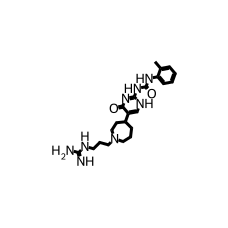 Cc1ccccc1NC(=O)Nc1nc(=O)c(C2CCCN(CCCNC(=N)N)CC2)c[nH]1